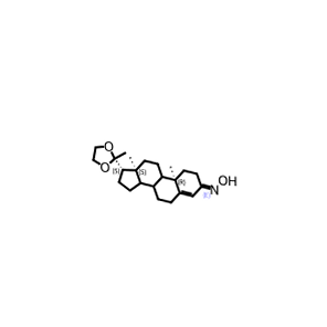 CC1([C@H]2CCC3C4CCC5=C/C(=N/O)CC[C@]5(C)C4CC[C@@]32C)OCCO1